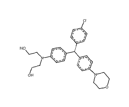 OCCN(CCO)c1ccc(C(c2ccc(Cl)cc2)c2ccc(N3CCOCC3)cc2)cc1